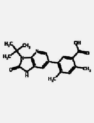 Cc1cc(C)c(-c2cnc3c(c2)[nH]c(=O)n3C(C)(C)C)cc1C(=O)O